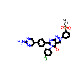 CS(=O)(=O)c1cccc(-n2cc3c(=O)n(-c4ccc(Cl)cc4)c(-c4ccc(-c5cnc(N)nc5)cc4)nc3n2)c1